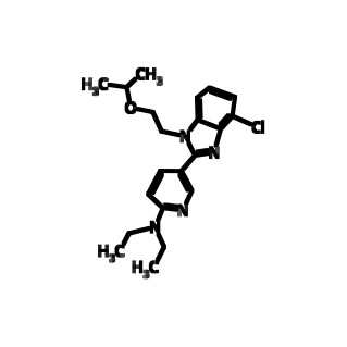 CCN(CC)c1ccc(-c2nc3c(Cl)cccc3n2CCOC(C)C)cn1